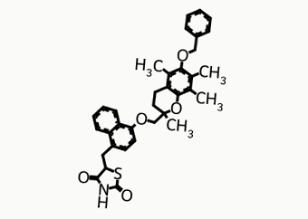 Cc1c(C)c2c(c(C)c1OCc1ccccc1)CCC(C)(COc1ccc(CC3SC(=O)NC3=O)c3ccccc13)O2